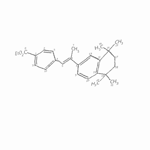 CCOC(=O)c1ccc(C=C(C)c2ccc3c(c2)C(C)(C)CCC3(C)C)cc1